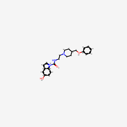 O=C(NCCN1CCC(COc2ccccc2)CC1)n1ccc2cc(O)ccc21